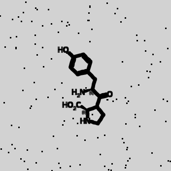 N[C@@H](Cc1ccc(O)cc1)C(=O)C1CCN[C@H]1C(=O)O